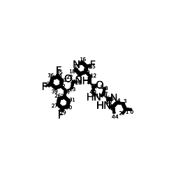 CC(C)=Cc1nc([C@@H]2CO[C@H](CCc3c(F)cncc3NC(=O)C[C@@H](c3ccc(F)cc3)c3cc(F)cc(F)c3)CN2)[nH]c1C